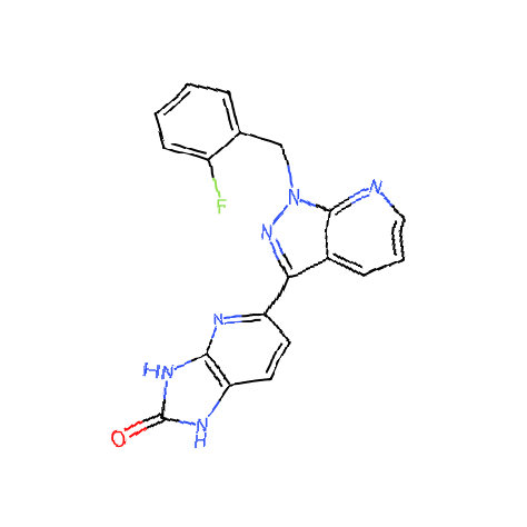 O=c1[nH]c2ccc(-c3nn(Cc4ccccc4F)c4ncccc34)nc2[nH]1